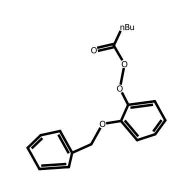 CCCCC(=O)OOc1ccccc1OCc1ccccc1